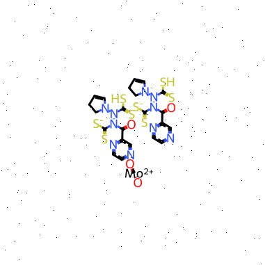 O=C(c1cnccn1)N(C(=S)[S-])N(C(=S)S)N1C=CCC1.O=C(c1cnccn1)N(C(=S)[S-])N(C(=S)S)N1C=CCC1.[O]=[Mo+2]=[O]